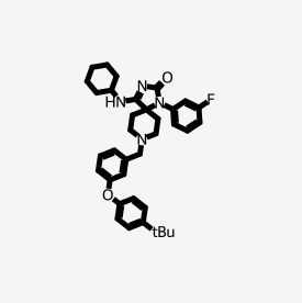 CC(C)(C)c1ccc(Oc2cccc(CN3CCC4(CC3)C(NC3CCCCC3)=NC(=O)N4c3cccc(F)c3)c2)cc1